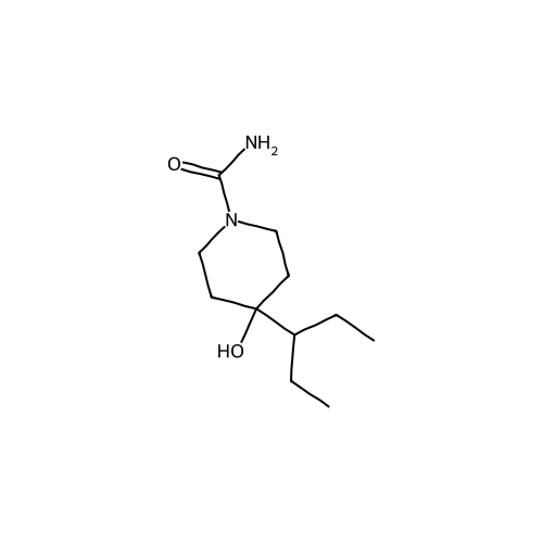 CCC(CC)C1(O)CCN(C(N)=O)CC1